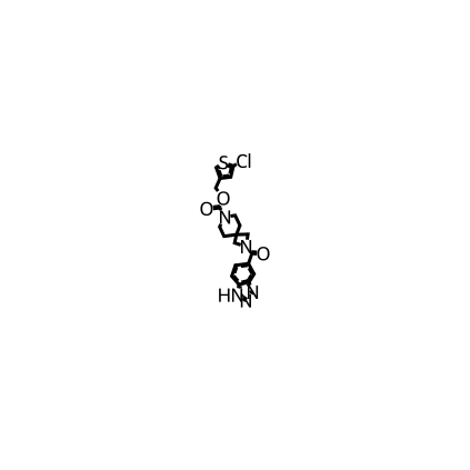 O=C(OCc1csc(Cl)c1)N1CCC2(CC1)CN(C(=O)c1ccc3[nH]nnc3c1)C2